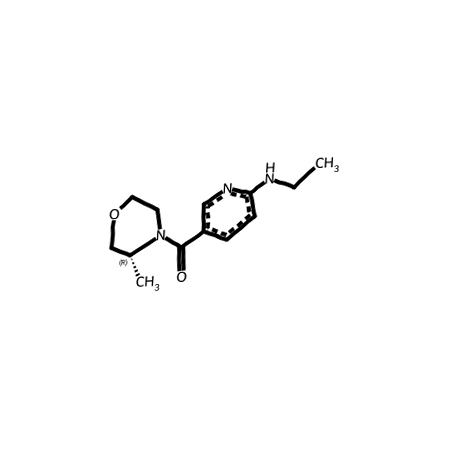 CCNc1ccc(C(=O)N2CCOC[C@H]2C)cn1